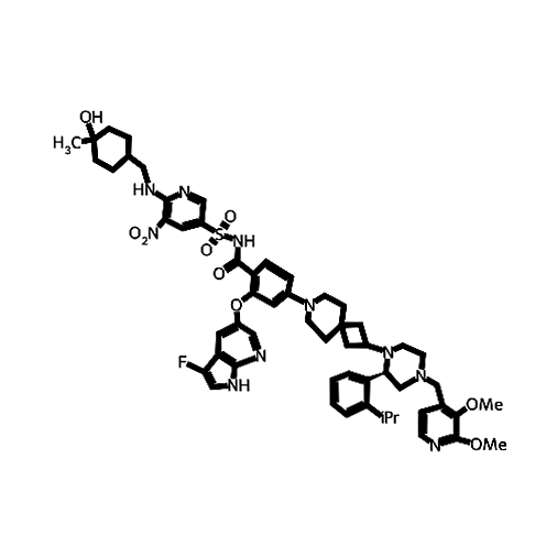 COc1nccc(CN2CCN(C3CC4(CCN(c5ccc(C(=O)NS(=O)(=O)c6cnc(NCC7CCC(C)(O)CC7)c([N+](=O)[O-])c6)c(Oc6cnc7[nH]cc(F)c7c6)c5)CC4)C3)[C@H](c3ccccc3C(C)C)C2)c1OC